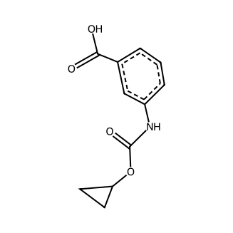 O=C(Nc1cccc(C(=O)O)c1)OC1CC1